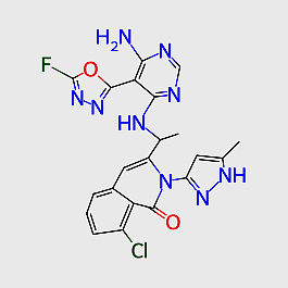 Cc1cc(-n2c(C(C)Nc3ncnc(N)c3-c3nnc(F)o3)cc3cccc(Cl)c3c2=O)n[nH]1